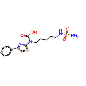 NS(=O)(=O)NCCCCCN(C(=O)O)c1nc(-c2ccccc2)cs1